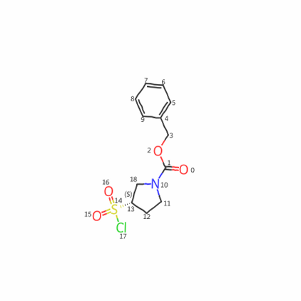 O=C(OCc1ccccc1)N1CC[C@H](S(=O)(=O)Cl)C1